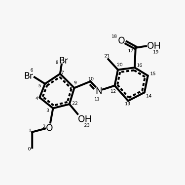 CCOc1cc(Br)c(Br)c(/C=N/c2cccc(C(=O)O)c2C)c1O